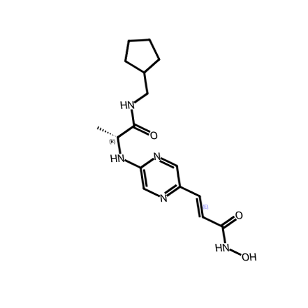 C[C@@H](Nc1cnc(/C=C/C(=O)NO)cn1)C(=O)NCC1CCCC1